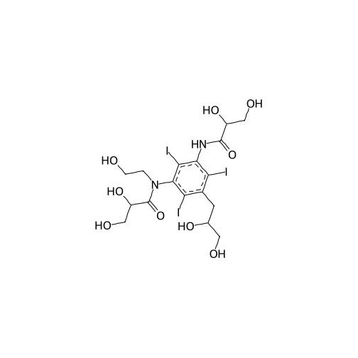 O=C(Nc1c(I)c(CC(O)CO)c(I)c(N(CCO)C(=O)C(O)CO)c1I)C(O)CO